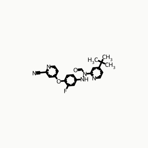 CC(C)(C)c1ccnc(N(C=O)Nc2ccc(Oc3ccnc(C#N)c3)c(F)c2)c1